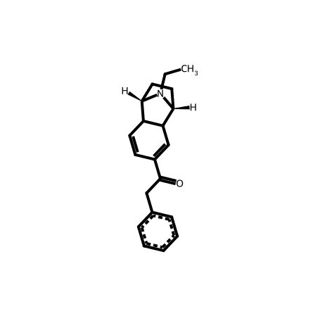 CCN1[C@@H]2CC[C@H]1C1C=CC(C(=O)Cc3ccccc3)=CC12